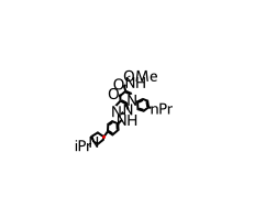 CCCc1ccc(-n2cc(C(=O)NOC)c(=O)c3cnc(Nc4ccc(C5CCN(C(C)C)CC5)cc4)nc32)cc1